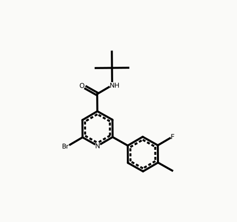 Cc1ccc(-c2cc(C(=O)NC(C)(C)C)cc(Br)n2)cc1F